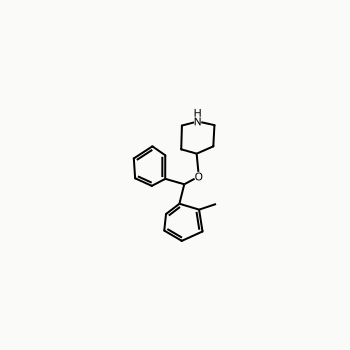 Cc1ccccc1C(OC1CCNCC1)c1ccccc1